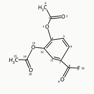 CC(=O)Oc1ccc(C(=O)F)cc1OC(C)=O